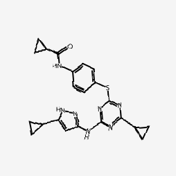 O=C(Nc1ccc(Sc2nc(Nc3cc(C4CC4)[nH]n3)nc(C3CC3)n2)cc1)C1CC1